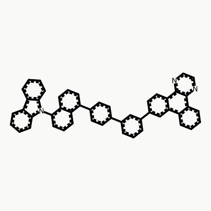 c1cc(-c2ccc(-c3cccc4c(-n5c6ccccc6c6ccccc65)cccc34)cc2)cc(-c2ccc3c(c2)c2ccccc2c2nccnc32)c1